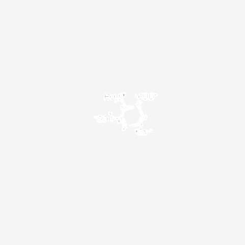 O=C([O-])c1cccc(C(=O)[O-])c1S(=O)(=O)O.[Ca+2]